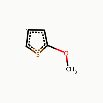 COc1c[c]cs1